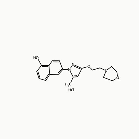 Cc1cc(OCCN2CCOCC2)nn1-c1ccc2c(O)cccc2c1.Cl